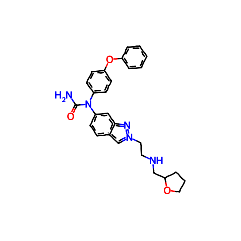 NC(=O)N(c1ccc(Oc2ccccc2)cc1)c1ccc2cn(CCNCC3CCCO3)nc2c1